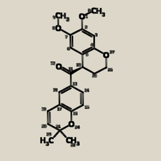 COc1cc2c(cc1OC)[C@H](C(=O)c1ccc3c(c1)C=CC(C)(C)O3)CCO2